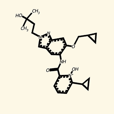 CC(C)(O)CCn1cc2cc(NC(=O)c3cccc(C4CC4)[n+]3O)c(OCC3CC3)cc2n1